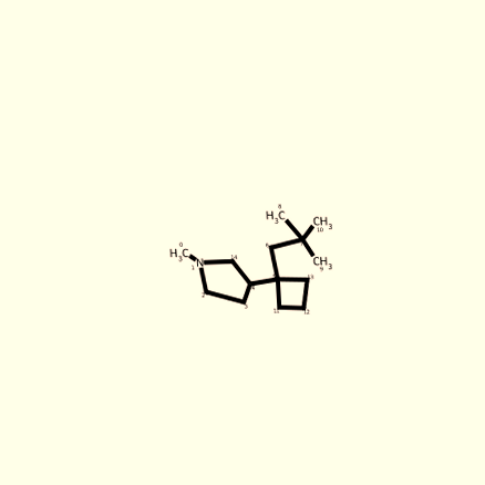 CN1CCC(C2(CC(C)(C)C)CCC2)C1